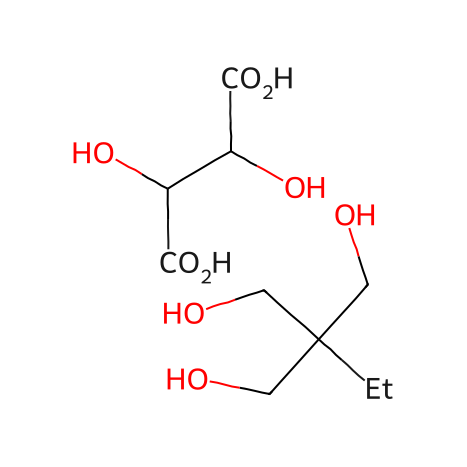 CCC(CO)(CO)CO.O=C(O)C(O)C(O)C(=O)O